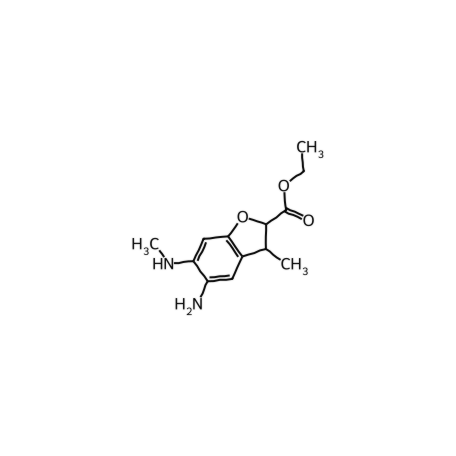 CCOC(=O)C1Oc2cc(NC)c(N)cc2C1C